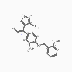 COc1ccccc1COc1ccc(/C(=C/C(C)=O)c2c[nH]nc2C)cc1OC